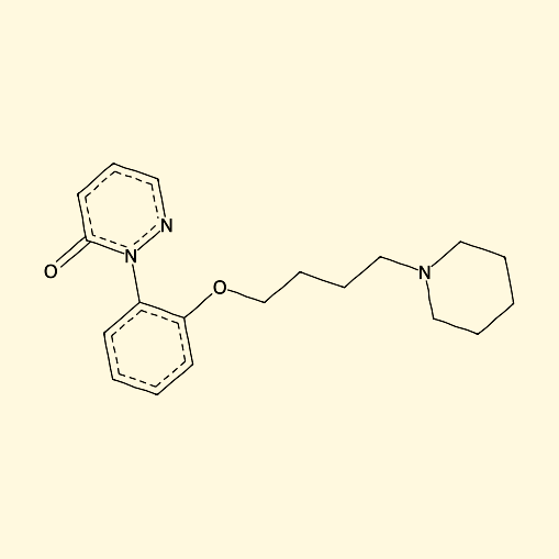 O=c1cccnn1-c1ccccc1OCCCCN1CCCCC1